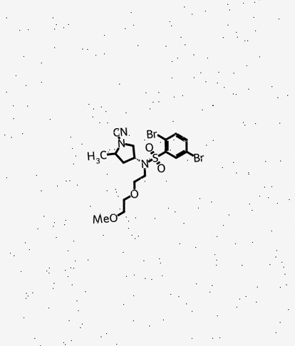 COCCOCCN([C@@H]1CC(C)N(C#N)C1)S(=O)(=O)c1cc(Br)ccc1Br